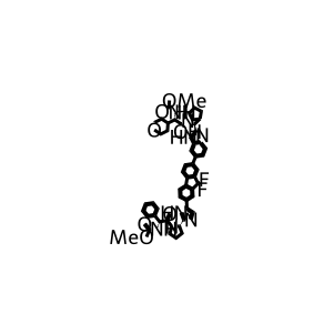 COC(=O)N[C@@H](C1CCOCC1)C(O)N1[C@@H]2CCC(C2)[C@H]1c1nc2ccc(-c3ccc4c(c3)C(F)(F)c3cc(-c5cnc([C@@H]6CCCN6C(=O)[C@H](NC(=O)OC)c6ccccc6)[nH]5)ccc3-4)cc2[nH]1